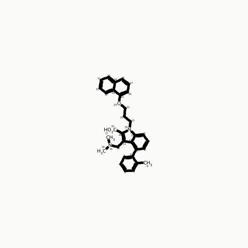 Cc1ccccc1-c1cccc2c1c(CN(C)C)c(C(=O)O)n2CCCOc1cccc2ccccc12